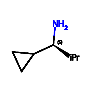 CC(C)[C@H](N)C1CC1